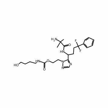 CC(C)(N)C(=O)NC(CCC(F)(F)c1ccccc1)c1ncnn1CCOC(=O)NCCCCO